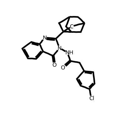 O=C(Cc1ccc(Cl)cc1)Nn1c(C23CC4CC(CC2C4)C3)nc2ccccc2c1=O